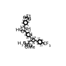 CCS(=O)(=O)c1ccc([C@H](CO)NC(=O)c2ccc(N3CC(c4ccc(C(F)(F)F)cc4)C[C@H]3CC(=O)N(C)OC)nc2)cc1